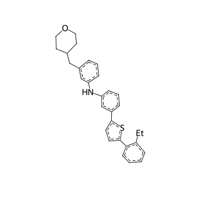 CCc1ccccc1-c1ccc(-c2cccc(Nc3cccc(CC4CCOCC4)c3)c2)s1